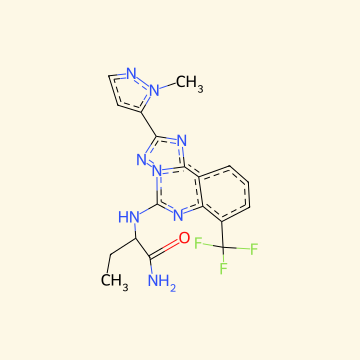 CCC(Nc1nc2c(C(F)(F)F)cccc2c2nc(-c3ccnn3C)nn12)C(N)=O